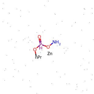 CCCO[PH](=O)ON.[Zn]